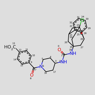 O=C(NC1CCN(C(=O)c2ccc(C(=O)O)cc2)CC1)NC12CC3CC(Cl)(CC(C1)c1ccccc13)C2